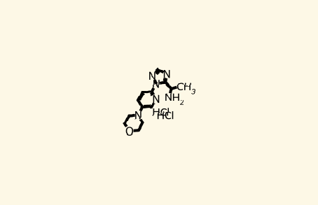 CC(N)c1ncnn1-c1ccc(N2CCOCC2)cn1.Cl.Cl